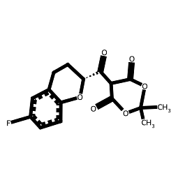 CC1(C)OC(=O)C(C(=O)[C@H]2CCc3cc(F)ccc3O2)C(=O)O1